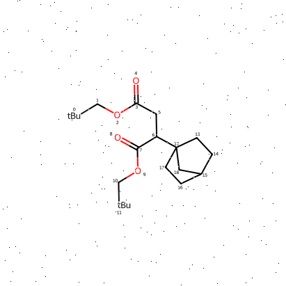 CC(C)(C)COC(=O)CC(C(=O)OCC(C)(C)C)C12CCC(CC1)C2